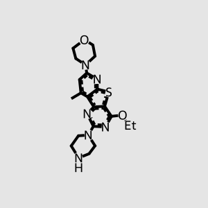 CCOc1nc(N2CCNCC2)nc2c1sc1nc(N3CCOCC3)cc(C)c12